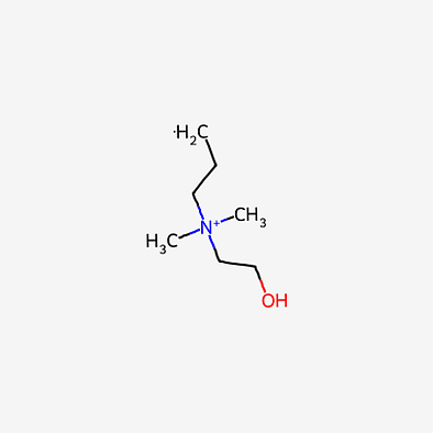 [CH2]CC[N+](C)(C)CCO